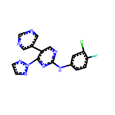 Fc1ccc(Nc2ncc(-c3cncnc3)c(-n3nccn3)n2)cc1Cl